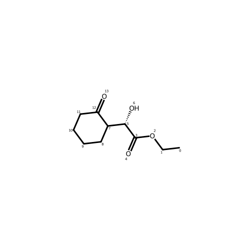 CCOC(=O)[C@@H](O)C1CCCCC1=O